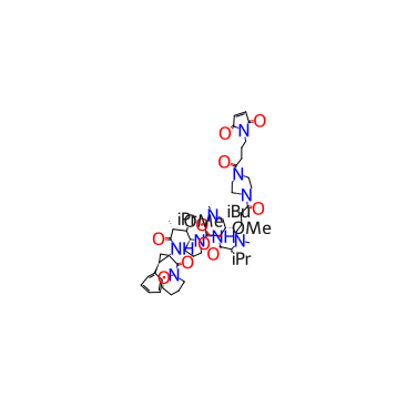 CC[C@H](C)[C@@H]([C@@H](CC(=O)N1CCC[C@H]1[C@H](OC)[C@@H](C)C(=O)N[C@@]1(C(=O)N2CCCCO2)C[C@@H]1c1ccccc1)OC)N(C)[C@H](C(=O)NC(=O)[C@H](C(C)C)N(C)CCCC(=O)N1CCN(C(=O)CCCN2C(=O)C=CC2=O)CC1)C(C)C